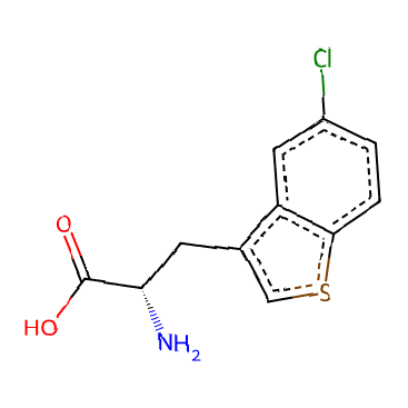 N[C@@H](Cc1csc2ccc(Cl)cc12)C(=O)O